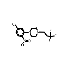 O=[N+]([O-])c1ccc(Cl)cc1N1CCN(CCC(F)(F)F)CC1